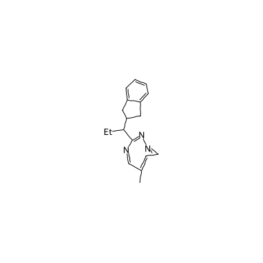 CCC(C1=N/N=C/C=C(C)/C=N\1)C1Cc2ccccc2C1